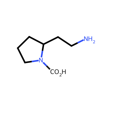 NCCC1CCCN1C(=O)O